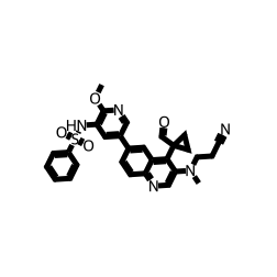 COc1ncc(-c2ccc3ncc(N(C)CCC#N)c(C4(C=O)CC4)c3c2)cc1NS(=O)(=O)c1ccccc1